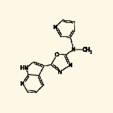 CN(c1cccnc1)c1nnc(-c2c[nH]c3ncccc23)o1